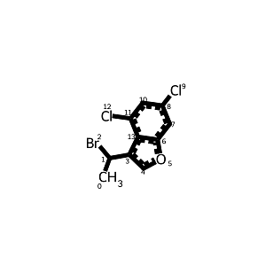 CC(Br)c1coc2cc(Cl)cc(Cl)c12